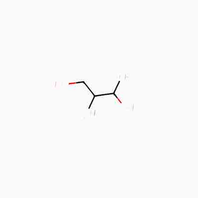 C[C](O)C(C)[CH]O